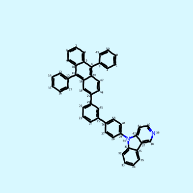 c1ccc(-c2c3ccccc3c(-c3ccccc3)c3cc(-c4cccc(-c5ccc(-n6c7ccccc7c7cnccc76)cc5)c4)ccc23)cc1